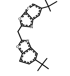 CC(C)(C)c1ccc2oc(Cc3nc4cc(C(C)(C)C)ccc4o3)nc2c1